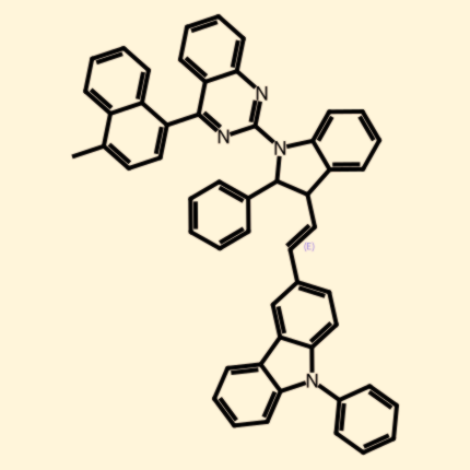 Cc1ccc(-c2nc(N3c4ccccc4C(/C=C/c4ccc5c(c4)c4ccccc4n5-c4ccccc4)C3c3ccccc3)nc3ccccc23)c2ccccc12